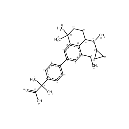 CCc1cc(-c2ccc(C(C)(C)C(=O)O)cc2)cc2c1C(N(C)C1CC1)CCC2(C)C